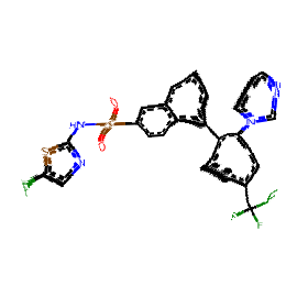 O=S(=O)(Nc1ncc(F)s1)c1ccc2c(-c3ccc(C(F)(F)F)cc3-n3ccnc3)cccc2c1